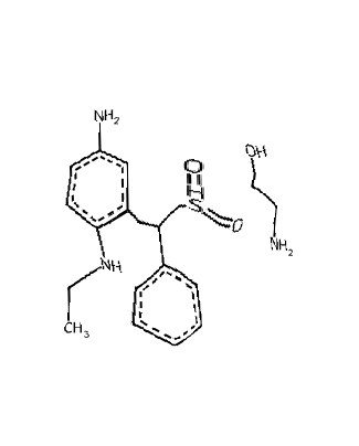 CCNc1ccc(N)cc1C(c1ccccc1)[SH](=O)=O.NCCO